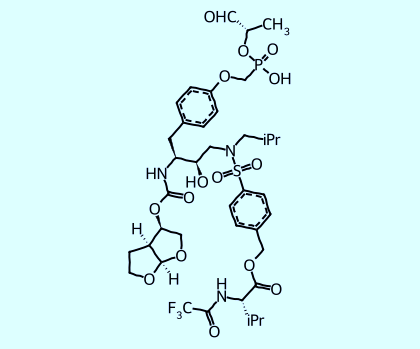 CC(C)CN(C[C@@H](O)[C@H](Cc1ccc(OCP(=O)(O)O[C@@H](C)C=O)cc1)NC(=O)O[C@H]1CO[C@H]2OCC[C@H]21)S(=O)(=O)c1ccc(COC(=O)[C@@H](NC(=O)C(F)(F)F)C(C)C)cc1